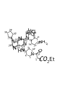 CCOC(=O)CC(=O)N1CCC(Nc2nc(N[C@H]3CC[C@H](N)CC3)nc3c2ncn3C2CCCC2)CC1.Cl.Cl